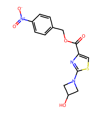 O=C(OCc1ccc([N+](=O)[O-])cc1)c1csc(N2CC(O)C2)n1